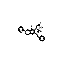 O=C1CN(c2c(OCc3ccccc3)cc3c(c2F)CN(c2ccccn2)CC3)S(=O)(=O)N1